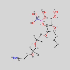 CCCCC1OC(COO)C(OP(OO)N(O)O)C1OCC(C)(C)OCC(C)(C)OCCC#N